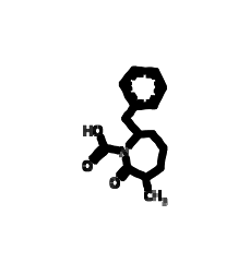 CC1CCCC(Cc2ccccc2)N(C(=O)O)C1=O